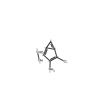 Nc1cc2cc-2c1Cl.O=CO